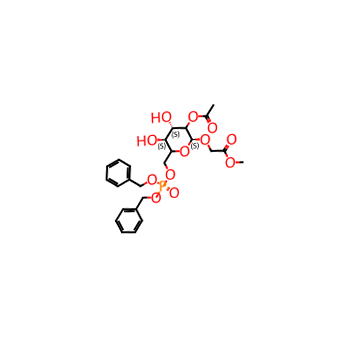 COC(=O)CO[C@H]1OC(COP(=O)(OCc2ccccc2)OCc2ccccc2)[C@@H](O)[C@H](O)C1OC(C)=O